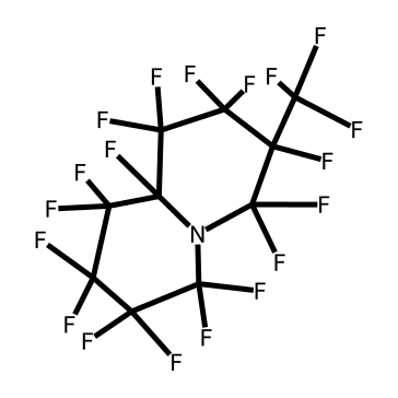 FC(F)(F)C1(F)C(F)(F)N2C(F)(F)C(F)(F)C(F)(F)C(F)(F)C2(F)C(F)(F)C1(F)F